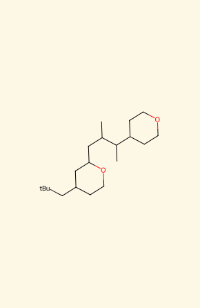 CC(CC1CC(CC(C)(C)C)CCO1)C(C)C1CCOCC1